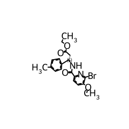 CCOC(=O)C[C@H](NC(=O)c1ccc(OC)c(Br)n1)c1ccc(C)cc1